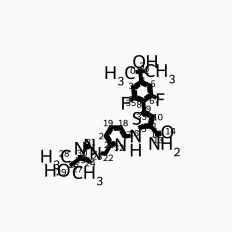 CC(C)(O)c1cc(F)c(-c2cc(C(N)=O)c(Nc3cccc(Cn4cc(C(C)(C)O)nn4)n3)s2)c(F)c1